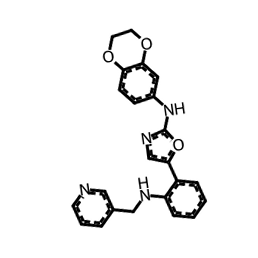 c1cncc(CNc2ccccc2-c2cnc(Nc3ccc4c(c3)OCCO4)o2)c1